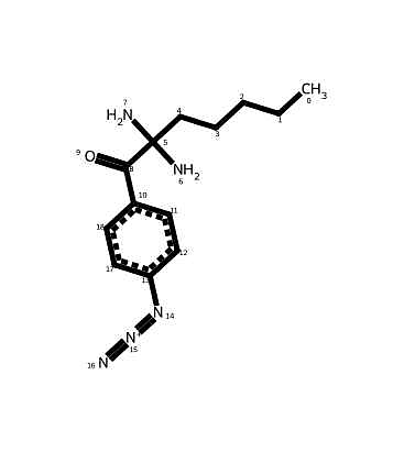 CCCCCC(N)(N)C(=O)c1ccc(N=[N+]=[N-])cc1